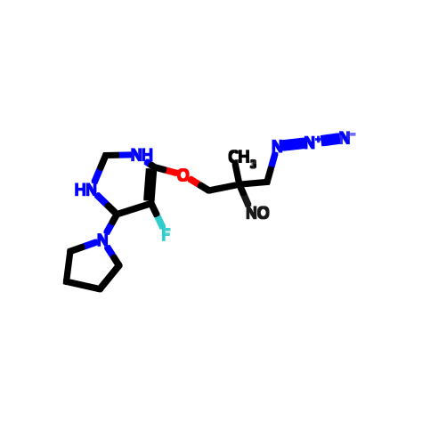 CC(CN=[N+]=[N-])(COC1=C(F)C(N2CCCC2)NCN1)N=O